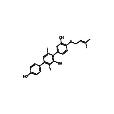 CC(C)=CCOc1ccc(-c2c(C)cc(-c3ccc(O)cc3)c(C)c2O)cc1O